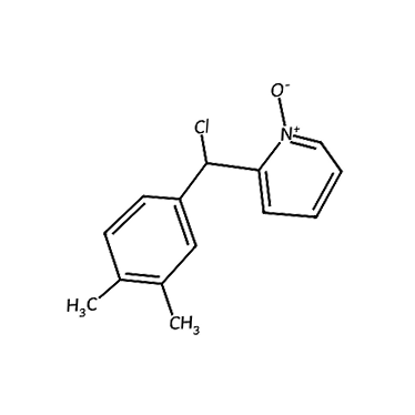 Cc1ccc(C(Cl)c2cccc[n+]2[O-])cc1C